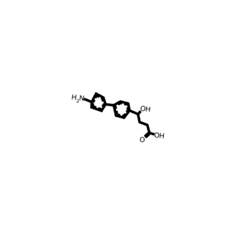 Nc1ccc(-c2ccc(C(O)CCC(=O)O)cc2)cc1